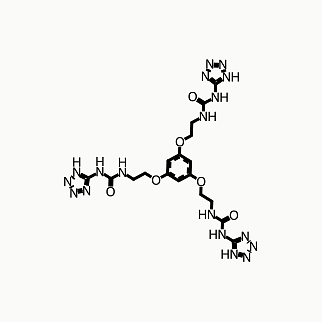 O=C(NCCOc1cc(OCCNC(=O)Nc2nnn[nH]2)cc(OCCNC(=O)Nc2nnn[nH]2)c1)Nc1nnn[nH]1